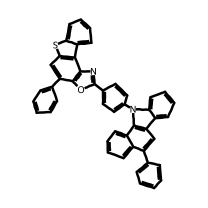 c1ccc(-c2cc3c4ccccc4n(-c4ccc(-c5nc6c(o5)c(-c5ccccc5)cc5sc7ccccc7c56)cc4)c3c3ccccc23)cc1